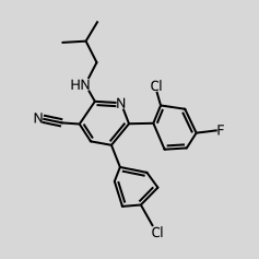 CC(C)CNc1nc(-c2ccc(F)cc2Cl)c(-c2ccc(Cl)cc2)cc1C#N